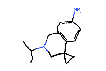 CC(C)N1Cc2cc(N)ccc2C2(CC2)C1